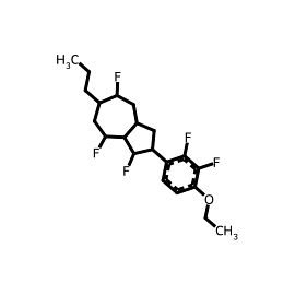 CCCC1CC(F)C2C(CC1F)CC(c1ccc(OCC)c(F)c1F)C2F